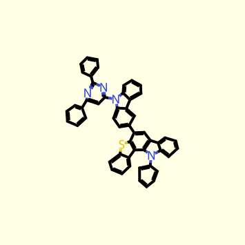 c1ccc(-c2cc(-n3c4ccccc4c4cc(-c5cc6c7ccccc7n(-c7ccccc7)c6c6c5sc5ccccc56)ccc43)nc(-c3ccccc3)n2)cc1